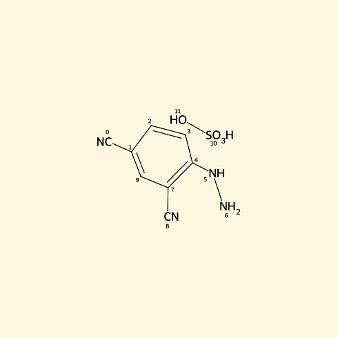 N#Cc1ccc(NN)c(C#N)c1.O=S(=O)(O)O